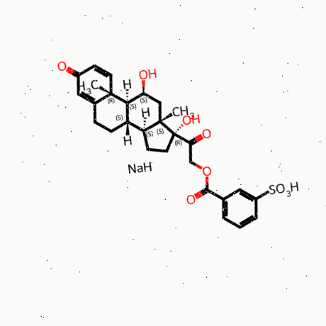 C[C@]12C=CC(=O)C=C1CC[C@@H]1[C@@H]2[C@@H](O)C[C@@]2(C)[C@H]1CC[C@]2(O)C(=O)COC(=O)c1cccc(S(=O)(=O)O)c1.[NaH]